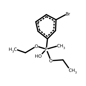 CCOP(C)(O)(OCC)c1cccc(Br)c1